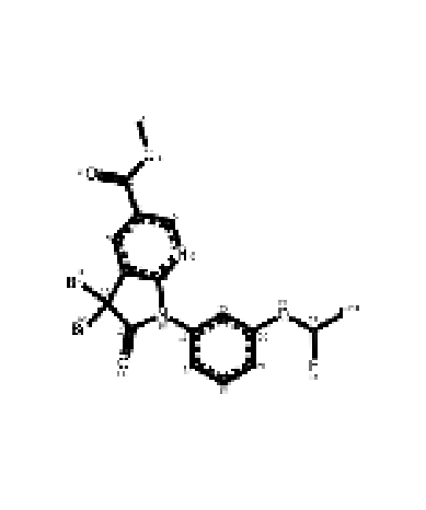 COC(=O)c1cnc2c(c1)C(Br)(Br)C(=O)N2c1cccc(OC(F)F)c1